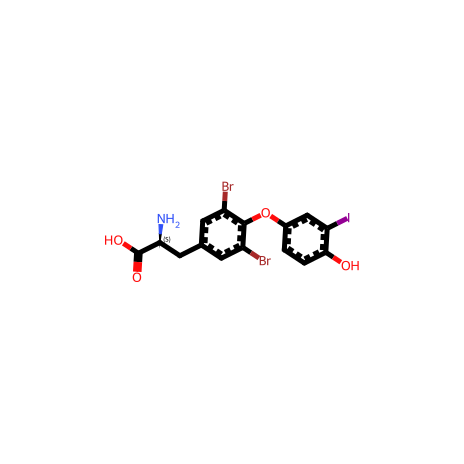 N[C@@H](Cc1cc(Br)c(Oc2ccc(O)c(I)c2)c(Br)c1)C(=O)O